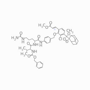 COC(=O)/C=C/c1ccc(C2(OC)OOC23C2CC4CC(C2)CC3C4)c(Cl)c1OCc1ccc(NC(=O)C(CCCNC(N)=O)NC(=O)C(NC(=O)OCc2ccccc2)C(C)C)cc1